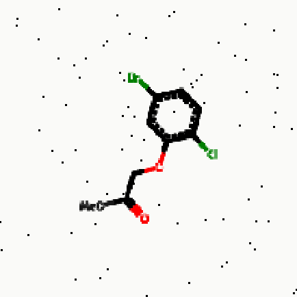 COC(=O)COc1cc(Br)ccc1Cl